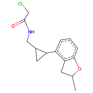 CC1Cc2c(cccc2C2CC2CNC(=O)CCl)O1